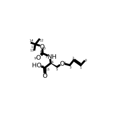 C/C=C/COC[C@H](NC(=O)OC(C)(C)C)C(=O)O